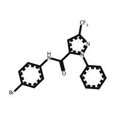 O=C(Nc1ccc(Br)cc1)c1cc(C(F)(F)F)nn1-c1ccccc1